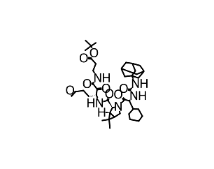 CC(C)(C)OC(=O)CCNC(=O)C(=O)[C@@H](CCC1CO1)NC(=O)[C@@H]1[C@@H]2C(CN1C(=O)[C@@H](NC(=O)NC13CC4CC(CC(C4)C1)C3)C1CCCCC1)C2(C)C